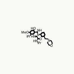 COc1cc(O)c(C(=N)N(C(=N)C(=O)NC(C)C)c2cccc(CCN3CCOCC3)c2)cc1C(C)C